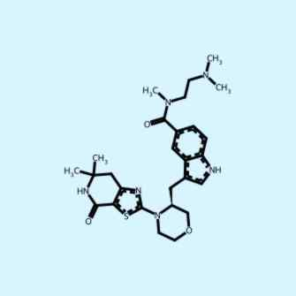 CN(C)CCN(C)C(=O)c1ccc2[nH]cc(C[C@H]3COCCN3c3nc4c(s3)C(=O)NC(C)(C)C4)c2c1